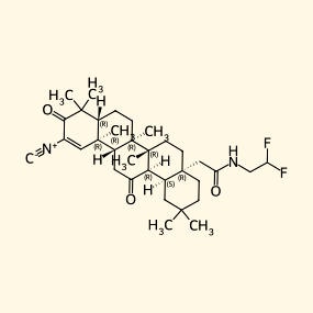 [C-]#[N+]C1=C[C@]2(C)[C@H]3CC(=O)[C@@H]4[C@@H]5CC(C)(C)CC[C@]5(CC(=O)NCC(F)F)CC[C@@]4(C)[C@]3(C)CC[C@H]2C(C)(C)C1=O